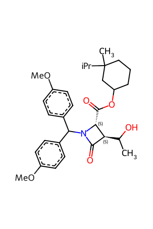 COc1ccc(C(c2ccc(OC)cc2)N2C(=O)[C@H](C(C)O)[C@H]2C(=O)OC2CCCC(C)(C(C)C)C2)cc1